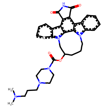 CN(C)CCCN1CCN(C(=O)OC2CCCn3c4ccccc4c4c5c(c6c7ccccc7n(c6c43)C2)C(=O)NC5=O)CC1